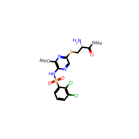 CNC(=O)[C@@H](N)CSc1cnc(NS(=O)(=O)c2cccc(Cl)c2Cl)c(OC)n1